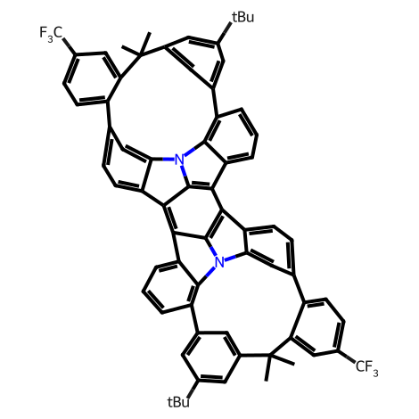 CC(C)(C)c1cc2cc(c1)C(C)(C)c1cc(C(F)(F)F)ccc1-c1ccc3c4c5c6cccc7c6n6c8cc(ccc8c(c8c9cccc-2c9n(c3c1)c48)c56)-c1ccc(C(F)(F)F)cc1C(C)(C)c1cc-7cc(C(C)(C)C)c1